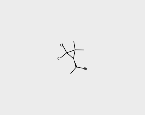 CC(Br)[C@@H]1C(C)(C)C1(Cl)Cl